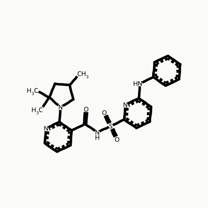 CC1CN(c2ncccc2C(=O)NS(=O)(=O)c2cccc(Nc3ccccc3)n2)C(C)(C)C1